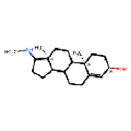 C[C@]12CCC3C(CCC4=C[C@H](O)CC[C@@]43C)C1CCC2NC(=O)O